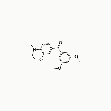 COc1cc(OC)cc(C(=O)c2ccc3c(c2)OCCN3C)c1